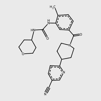 Cc1ccc(C(=O)N2CCC(c3ccc(C#N)cn3)CC2)cc1NC(=O)NC1CCOCC1